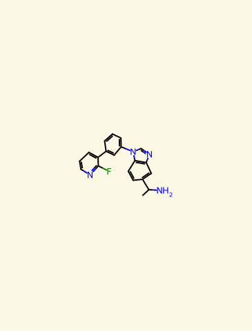 CC(N)c1ccc2c(c1)ncn2-c1cccc(-c2cccnc2F)c1